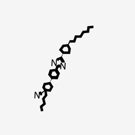 CCCCCCCC[C@H]1CC[C@H](c2cnc(-c3ccc([C@H]4CC[C@@](C#N)(CCCCC)CC4)cc3)nc2)CC1